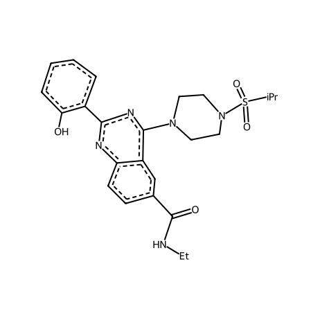 CCNC(=O)c1ccc2nc(-c3ccccc3O)nc(N3CCN(S(=O)(=O)C(C)C)CC3)c2c1